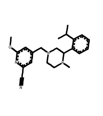 COc1cc(CN2CCN(C)C(c3ccccc3C(C)C)C2)cc(C#N)n1